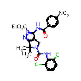 CCOC(=O)n1nc2c(c1NC(=O)c1ccc([N+](=O)[O-])cc1)CN(C(=O)Nc1c(Cl)cccc1Cl)C2(C)C